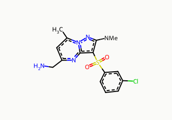 CNc1nn2c(C)cc(CN)nc2c1S(=O)(=O)c1cccc(Cl)c1